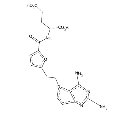 Nc1nc(N)c2c(ccn2CCc2ccc(C(=O)N[C@H](CCC(=O)O)C(=O)O)o2)n1